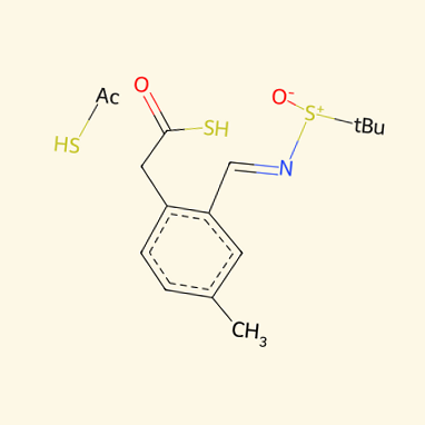 CC(=O)S.Cc1ccc(CC(=O)S)c(/C=N/[S+]([O-])C(C)(C)C)c1